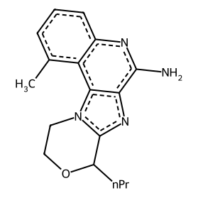 CCCC1OCCn2c1nc1c(N)nc3cccc(C)c3c12